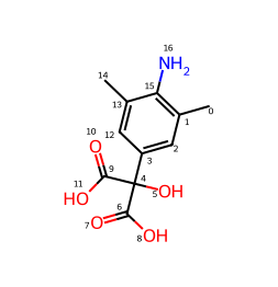 Cc1cc(C(O)(C(=O)O)C(=O)O)cc(C)c1N